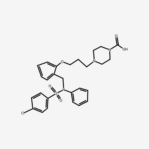 O=C(O)N1CCN(CCCOc2ccccc2CN(c2ccccc2)S(=O)(=O)c2ccc(Cl)cc2)CC1